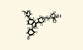 Cn1cc(-c2ccc3c(c2)c(C2=CCN(CCN4CCNC4=O)CC2)cn3-c2ccc(F)cc2)cn1